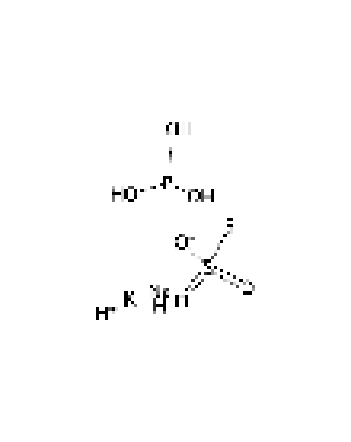 O=S(=O)([O-])[S-].OP(O)O.[H+].[K+].[NaH]